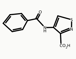 O=C(Nc1csnc1C(=O)O)c1ccccc1